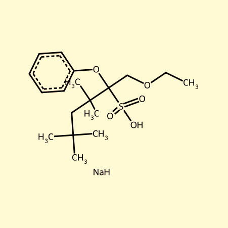 CCOCC(Oc1ccccc1)(C(C)(C)CC(C)(C)C)S(=O)(=O)O.[NaH]